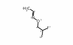 [CH2]/C=N/OCC(F)F